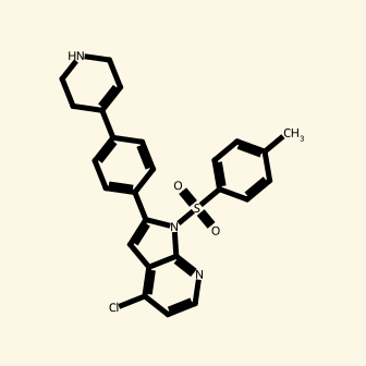 Cc1ccc(S(=O)(=O)n2c(-c3ccc(C4=CCNCC4)cc3)cc3c(Cl)ccnc32)cc1